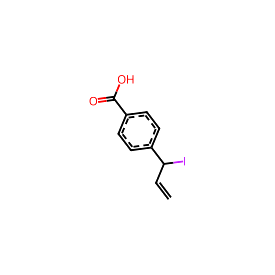 C=CC(I)c1ccc(C(=O)O)cc1